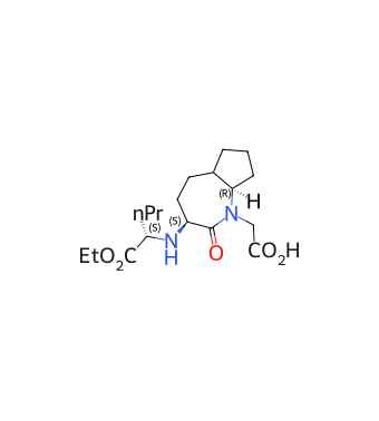 CCC[C@H](N[C@H]1CCC2CCC[C@H]2N(CC(=O)O)C1=O)C(=O)OCC